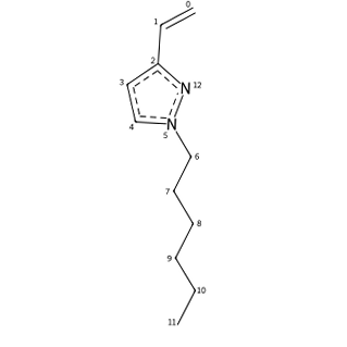 C=Cc1ccn(CCCCCC)n1